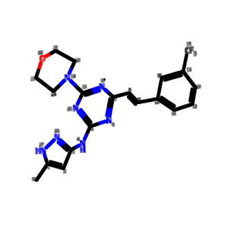 Cc1cc(Nc2nc(/C=C/c3cccc(C(F)(F)F)c3)nc(N3CCOCC3)n2)n[nH]1